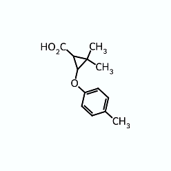 Cc1ccc(OC2C(C(=O)O)C2(C)C)cc1